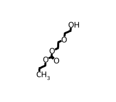 CCCOC(=O)OCCOCCO